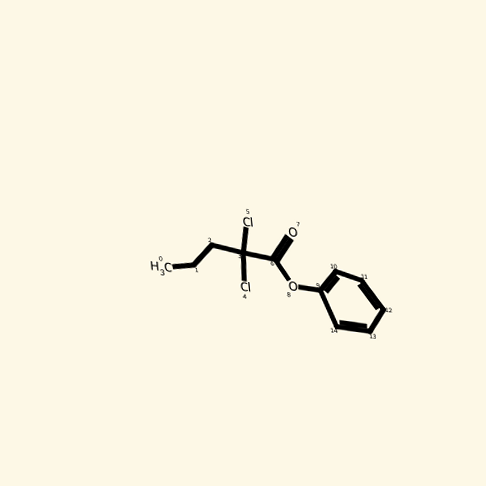 CCCC(Cl)(Cl)C(=O)Oc1ccccc1